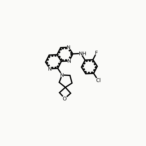 Fc1cc(Cl)ccc1Nc1ncc2ccnc(N3CCC4(COC4)C3)c2n1